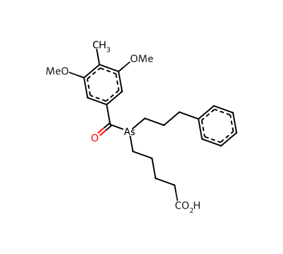 COc1cc(C(=O)[As](CCCCC(=O)O)CCCc2ccccc2)cc(OC)c1C